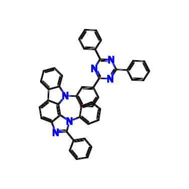 c1ccc(-c2nc(-c3ccccc3)nc(-c3cccc(-n4c5ccccc5c5ccc6nc(-c7ccccc7)n(-c7ccccc7)c6c54)c3)n2)cc1